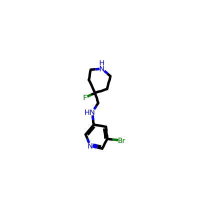 FC1(CNc2cncc(Br)c2)CCNCC1